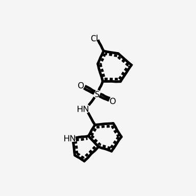 O=S(=O)(Nc1cccc2cc[nH]c12)c1cccc(Cl)c1